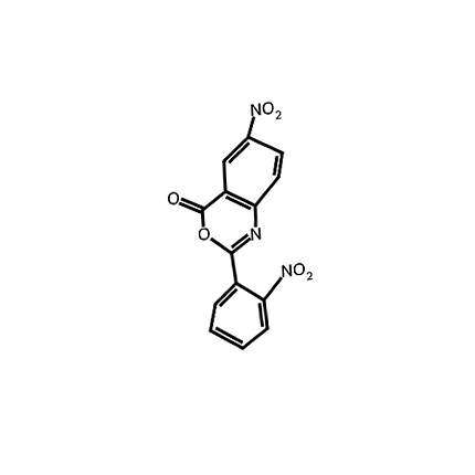 O=c1oc(-c2ccccc2[N+](=O)[O-])nc2ccc([N+](=O)[O-])cc12